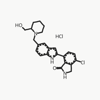 Cl.O=C1NCc2c(Cl)ccc(-c3cc4cc(CN5CCCCC5CO)ccc4[nH]3)c21